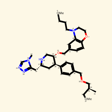 COCCCN1CCOc2ccc(CO[C@H]3CN[C@@H](Cc4nncn4C)C[C@@H]3c3ccc(COC[C@@H](C)COC)cc3)cc21